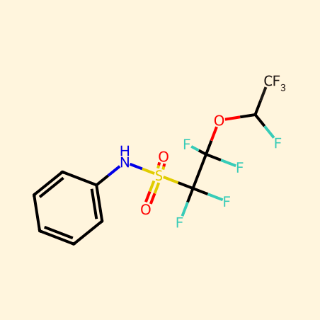 O=S(=O)(Nc1ccccc1)C(F)(F)C(F)(F)OC(F)C(F)(F)F